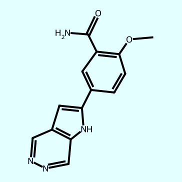 COc1ccc(-c2cc3cnncc3[nH]2)cc1C(N)=O